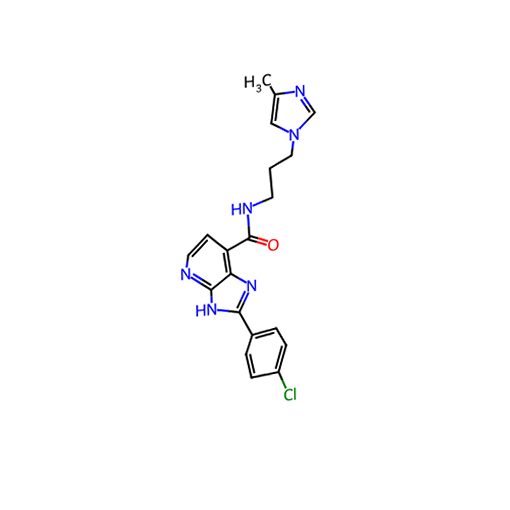 Cc1cn(CCCNC(=O)c2ccnc3[nH]c(-c4ccc(Cl)cc4)nc23)cn1